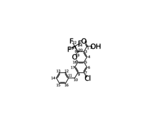 O=C(O)C1=Cc2cc(Cl)c(Cc3ccccc3)cc2O[C@H]1C(F)(F)F